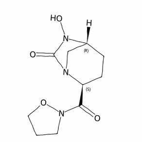 O=C([C@@H]1CC[C@@H]2CN1C(=O)N2O)N1CCCO1